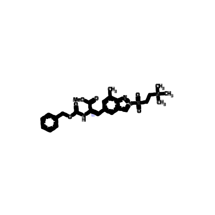 COC(=O)/C(=C\c1cc(C)c2nn(S(=O)(=O)CC[Si](C)(C)C)cc2c1)NC(=O)OCc1ccccc1